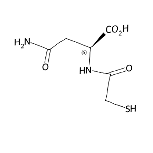 NC(=O)C[C@H](NC(=O)CS)C(=O)O